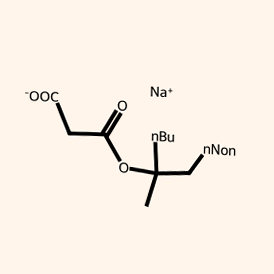 CCCCCCCCCCC(C)(CCCC)OC(=O)CC(=O)[O-].[Na+]